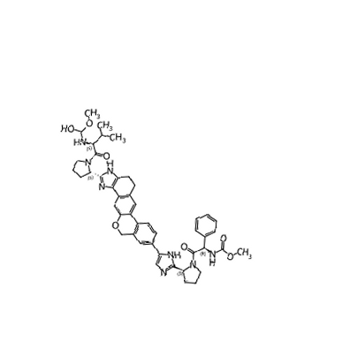 COC(=O)N[C@@H](C(=O)N1CCC[C@H]1c1ncc(-c2ccc3c(c2)COc2cc4c(cc2-3)CCc2[nH]c([C@@H]3CCCN3C(=O)[C@@H](NC(O)OC)C(C)C)nc2-4)[nH]1)c1ccccc1